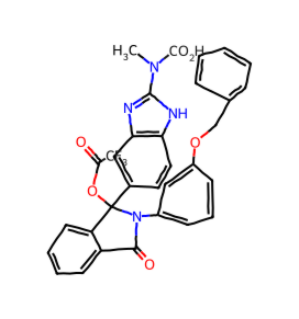 CN(C(=O)O)c1nc2cc(C3(OC(=O)C(F)(F)F)c4ccccc4C(=O)N3c3cccc(OCc4ccccc4)c3)ccc2[nH]1